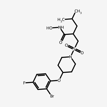 CC(C)CC(CS(=O)(=O)N1CCC(Oc2ccc(F)cc2Br)CC1)C(=O)NO